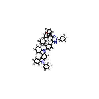 c1ccc(-c2nc(-c3ccccc3)c3c(n2)-c2ccc(-n4c5ccccc5c5c6c7ccccc7n(-c7ccccc7)c6ccc54)cc2[Si]3(c2ccccc2)c2ccccc2)cc1